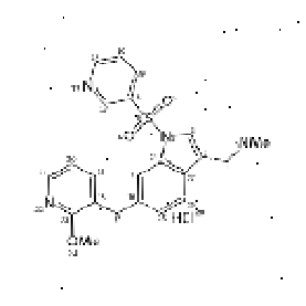 CNCc1cn(S(=O)(=O)c2cccnc2)c2cc(Cc3cccnc3OC)ccc12.Cl